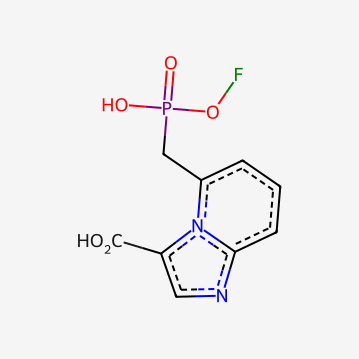 O=C(O)c1cnc2cccc(CP(=O)(O)OF)n12